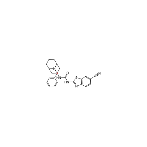 N#Cc1ccc2nc(NC(=O)NC3CC4CCCC(C3)N4Cc3ccccc3)sc2c1